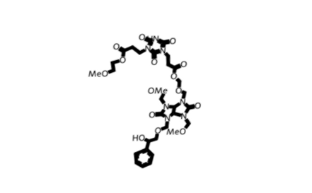 COCCOC(=O)CCn1c(=O)[nH]c(=O)n(CCC(=O)OCOCN2C(=O)N(COC)C3C2N(COC)C(=O)N3COCC(O)c2ccccc2)c1=O